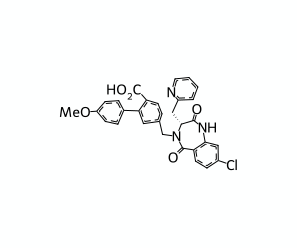 COc1ccc(-c2cc(CN3C(=O)c4ccc(Cl)cc4NC(=O)[C@H]3Cc3ccccn3)ccc2C(=O)O)cc1